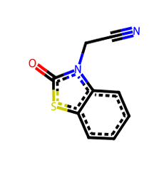 N#CCn1c(=O)sc2ccccc21